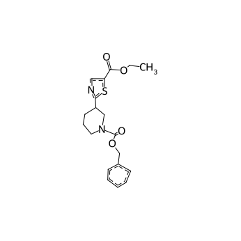 CCOC(=O)c1cnc(C2CCCN(C(=O)OCc3ccccc3)C2)s1